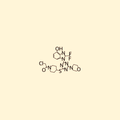 O=C(CCl)N1CCC(Sc2nc(N3CCOCC3)nc(-n3c(C(F)F)nc4c(O)cccc43)n2)CC1